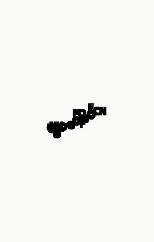 N#Cc1ccc(OC(=O)c2c(F)cc(OC[C@H]3CC[C@H](C(=O)[C@@H]4CCCN4)CC3)cc2F)cc1F